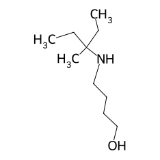 CCC(C)(CC)NCCCCO